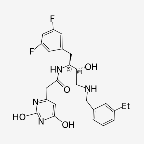 CCc1cccc(CNC[C@@H](O)[C@H](Cc2cc(F)cc(F)c2)NC(=O)Cc2cc(O)nc(O)n2)c1